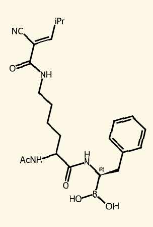 CC(=O)NC(CCCCNC(=O)C(C#N)=CC(C)C)C(=O)N[C@@H](Cc1ccccc1)B(O)O